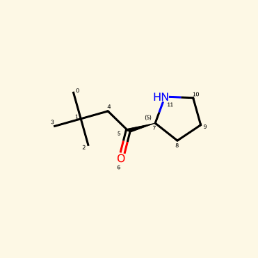 CC(C)(C)CC(=O)[C@@H]1CCCN1